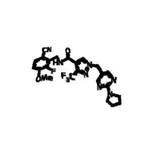 COc1ccc(C#N)c(CNC(=O)c2cn(Cc3cnc(N4CCCC4)nc3)nc2C(F)(F)F)c1F